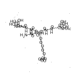 CC(=O)NC1C(OCCCCC(=O)NCCCNC(=O)CCOCC(COCCC(=O)NCCCN)(COCCC(=O)NCCCNC(=O)CCCCOC2OC(CO)C(O)C(O)C2NC(C)=O)NC(=O)CCOCCOCCOCCOCCOCCC(=O)ON2C(=O)CCC2=O)OC(CO)C(O)C1O